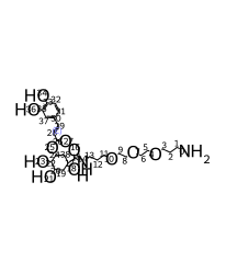 NCCCOCCOCCOCCCNC(=O)C1(O)CC(O)C(O)C(OC(=O)/C=C/c2ccc(O)c(O)c2)C1